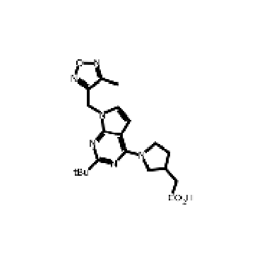 Cc1nonc1Cn1ccc2c(N3CCC(CC(=O)O)C3)nc(C(C)(C)C)nc21